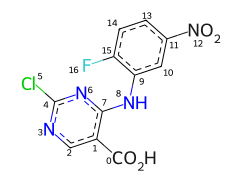 O=C(O)c1cnc(Cl)nc1Nc1cc([N+](=O)[O-])ccc1F